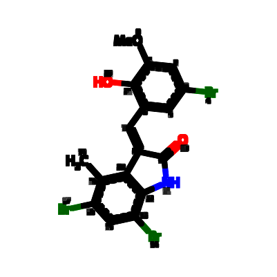 COc1cc(Br)cc(C=C2C(=O)Nc3c(Br)cc(Br)c(C)c32)c1O